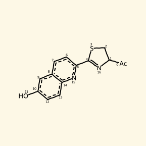 CC(=O)C1CSC(c2ccc3cc(O)ccc3n2)=N1